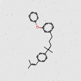 CC(C)=Cc1ccc(C(C)(C)CCCc2cccc(Oc3ccccc3)c2)cc1